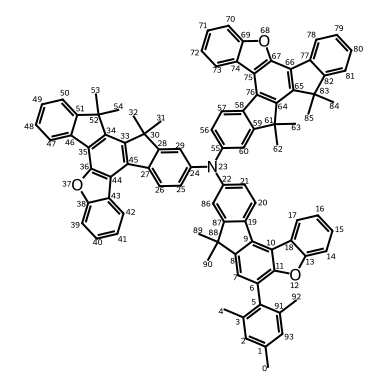 Cc1cc(C)c(-c2cc3c(c4c2oc2ccccc24)-c2ccc(N(c4ccc5c(c4)C(C)(C)c4c6c(c7oc8ccccc8c7c4-5)-c4ccccc4C6(C)C)c4ccc5c(c4)C(C)(C)c4c6c(c7oc8ccccc8c7c4-5)-c4ccccc4C6(C)C)cc2C3(C)C)c(C)c1